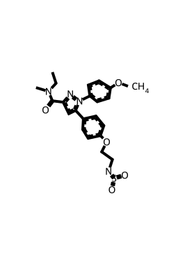 C.CCN(C)C(=O)c1cc(-c2ccc(OCCN=S(=O)=O)cc2)n(-c2ccc(OC)cc2)n1